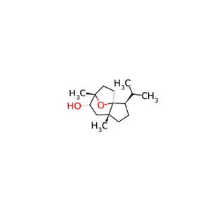 CC(C)[C@H]1CC[C@]2(C)C[C@H](O)[C@]3(C)CC[C@]12O3